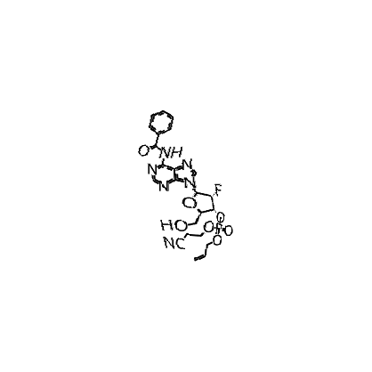 C=CCOP(=O)(OCCC#N)O[C@H]1[C@@H](F)[C@H](n2cnc3c(NC(=O)c4ccccc4)ncnc32)O[C@@H]1CO